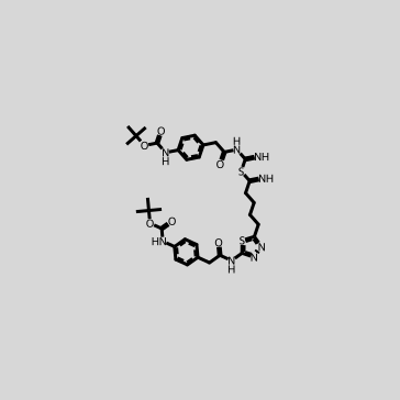 CC(C)(C)OC(=O)Nc1ccc(CC(=O)NC(=N)SC(=N)CCCCc2nnc(NC(=O)Cc3ccc(NC(=O)OC(C)(C)C)cc3)s2)cc1